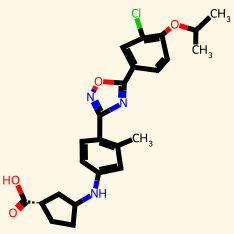 Cc1cc(NC2CC[C@H](C(=O)O)C2)ccc1-c1noc(-c2ccc(OC(C)C)c(Cl)c2)n1